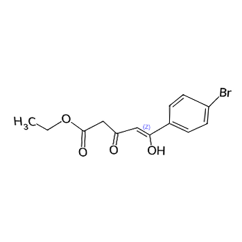 CCOC(=O)CC(=O)/C=C(\O)c1ccc(Br)cc1